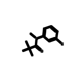 CN(C(=O)C(C)(C)C)c1cc[c]c(Cl)c1